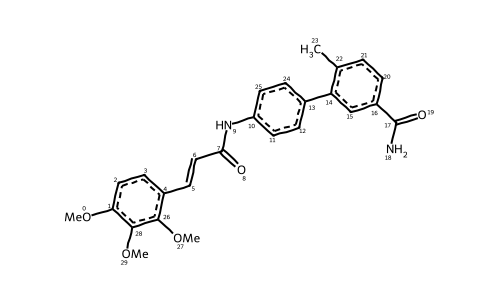 COc1ccc(/C=C/C(=O)Nc2ccc(-c3cc(C(N)=O)ccc3C)cc2)c(OC)c1OC